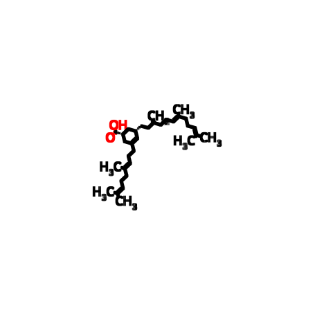 C=C(CC/C=C(\C)CCC=C(C)C)CC[C@@H]1C=C(CC/C=C(\C)CCC=C(C)C)C[C@H](C(=O)O)C1